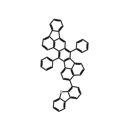 c1ccc(-c2c3cc4c5ccccc5c5cccc(c3c(-c3ccccc3)c3c6ccc(-c7cccc8c7oc7ccccc78)c7cccc(c23)c76)c54)cc1